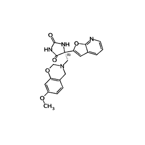 COc1ccc2c(c1)OCN(C[C@@]1(c3cc4cccnc4o3)NC(=O)NC1=O)C2